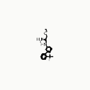 CCOC/C(N)=C/Nc1cccc(-c2ccccc2C(C)(F)F)c1